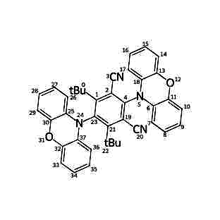 CC(C)(C)c1c(C#N)c(N2c3ccccc3Oc3ccccc32)c(C#N)c(C(C)(C)C)c1N1c2ccccc2Oc2ccccc21